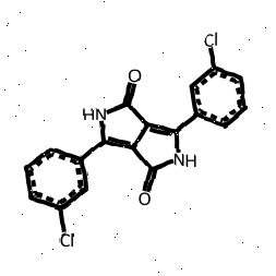 O=C1NC(c2cccc(Cl)c2)=C2C(=O)NC(c3cccc(Cl)c3)=C12